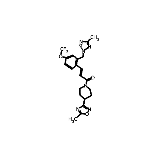 Cc1nnn(Cc2cc(OC(F)(F)F)ccc2/C=C/C(=O)N2CCC(c3noc(C)n3)CC2)n1